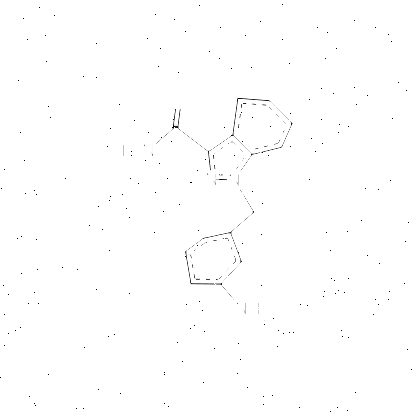 NC(=O)c1nn(Cc2cccc(N)c2)c2ccccc12